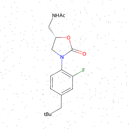 CC(=O)NC[C@H]1CN(c2ccc(CC(C)(C)C)cc2F)C(=O)O1